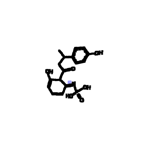 CC(CC(=O)C1C(O)=CC=C/C1=N\P(=O)(O)O)c1ccc(O)cc1